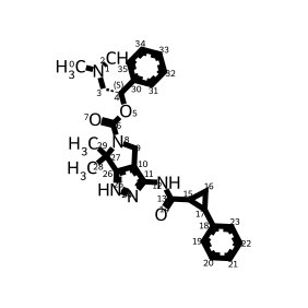 CN(C)C[C@@H](OC(=O)N1Cc2c(NC(=O)C3CC3c3ccccc3)n[nH]c2C1(C)C)c1ccccc1